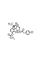 CC(=O)Oc1ccc2c3c1O[C@H]1[C@@H](OC(=O)Cc4ccc(Cl)cc4)C=C[C@H]4[C@@H](C2)N(C)CC[C@@]341